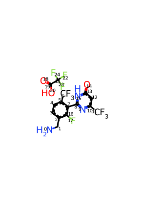 NCc1ccc(C(F)(F)F)c(-c2nc(C(F)(F)F)cc(=O)[nH]2)c1F.O=C(O)C(F)(F)F